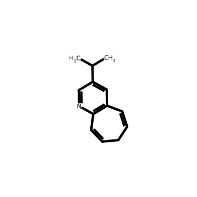 CC(C)c1cnc2c(c1)C=CCC=C2